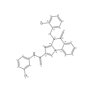 O=C(Nc1cccc(C(F)(F)F)c1)c1cn2c3ccccc3c(=O)n(Cc3ccccc3Cl)c2n1